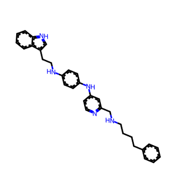 c1ccc(CCCCNCc2cc(Nc3ccc(NCCc4c[nH]c5ccccc45)cc3)ccn2)cc1